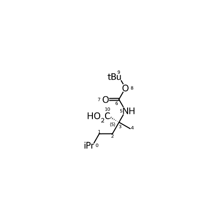 CC(C)CC[C@](C)(NC(=O)OC(C)(C)C)C(=O)O